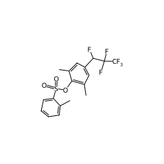 Cc1ccccc1S(=O)(=O)Oc1c(C)cc(C(F)C(F)(F)C(F)(F)F)cc1C